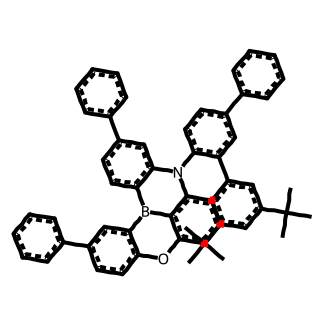 CC(C)(C)c1cc(-c2cc(-c3ccccc3)ccc2N2c3cc(-c4ccccc4)ccc3B3c4cc(-c5ccccc5)ccc4Oc4cccc2c43)cc(C(C)(C)C)c1